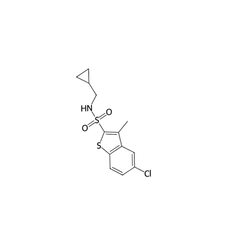 Cc1c(S(=O)(=O)NCC2CC2)sc2ccc(Cl)cc12